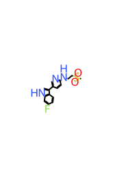 CS(=O)(=O)CCNc1ccc(-c2c[nH]c3cc(F)ccc23)cn1